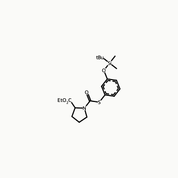 CCOC(=O)C1CCCN1C(=O)Sc1cccc(O[Si](C)(C)C(C)(C)C)c1